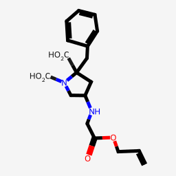 C=CCOC(=O)CNC1CN(C(=O)O)C(Cc2ccccc2)(C(=O)O)C1